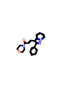 O=C(C=Cc1c(-c2ccccc2)nn2ccccc12)N1CCOCC1